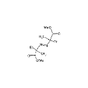 CCC(C)(N=NC(C)(CC)C(=O)OC)C(=O)OC